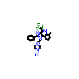 Cc1cccc2c1nc(C(F)(F)F)c1nc(-c3ccccc3)n(CCN3CCNCC3)c12